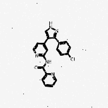 O=C(Nc1cc(-c2c[nH]nc2-c2ccc(Cl)cc2)ccn1)c1ccccn1